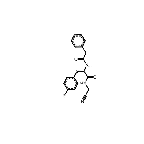 N#CCNC(=O)C(NC(=O)Cc1ccccc1)Sc1ccc(F)cc1